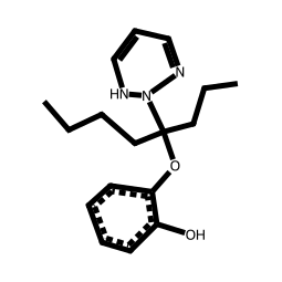 CCCCC(CCC)(Oc1ccccc1O)N1N=CC=CN1